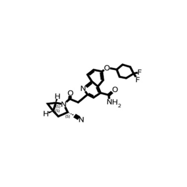 N#C[C@@H]1C[C@@H]2C[C@@H]2N1C(=O)Cc1cc(C(N)=O)c2cc(OC3CCC(F)(F)CC3)ccc2n1